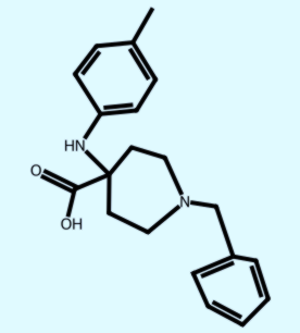 Cc1ccc(NC2(C(=O)O)CCN(Cc3ccccc3)CC2)cc1